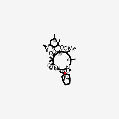 CNCC(=O)N1C2CCC1CC([C@@H]1COC(=O)C(C)(C)C(=O)[C@H](C)[C@@H](O[C@@H]3O[C@H](C)C[C@H](N(C)C)[C@H]3O)[C@](C)(OC)C[C@@H](C)CN1C)C2